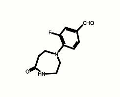 O=Cc1ccc(N2CCNC(=O)CC2)c(F)c1